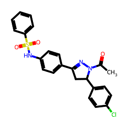 CC(=O)N1N=C(c2ccc(NS(=O)(=O)c3ccccc3)cc2)CC1c1ccc(Cl)cc1